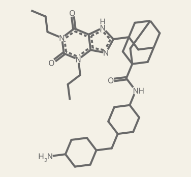 CCCn1c(=O)c2[nH]c(C34CC5CC(CC(C(=O)NC6CCC(CC7CCC(N)CC7)CC6)(C5)C3)C4)nc2n(CCC)c1=O